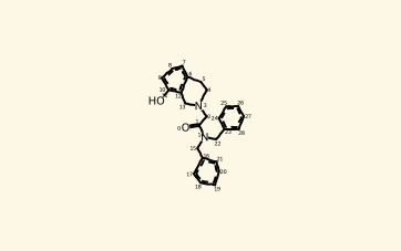 O=C(CN1CCc2cccc(O)c2C1)N(Cc1ccccc1)Cc1ccccc1